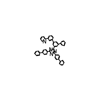 c1ccc(-c2ccc(-c3nc(-c4ccc(-c5ccccc5)cc4)nc(-c4cc(-c5ccccc5)cc(-c5cccc(-c6ccccn6)c5)c4)n3)cc2)cc1